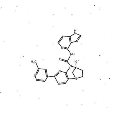 Cc1cc(-c2ccc3c(n2)N(C(=O)Nc2nccc4[nH]cnc24)[C@H]2CCN3C2)ccn1